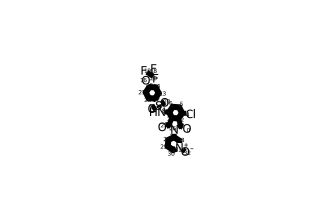 O=C1c2c(Cl)ccc(NS(=O)(=O)c3ccc(OC(F)(F)F)cc3)c2C(=O)N1c1ccc[n+]([O-])c1